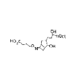 CCCCCCCCC(O)CCC1CC2C(=NOCCCC(=O)O)CC2C1O